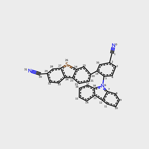 N#Cc1ccc(-n2c3ccccc3c3ccccc32)c(-c2ccc3c(c2)sc2cc(C#N)ccc23)c1